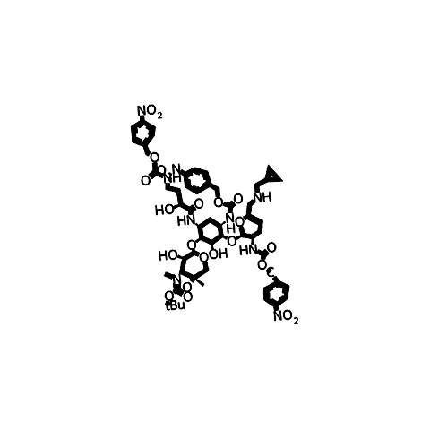 CN(C(=O)OC(C)(C)C)[C@@H]1[C@@H](O)[C@@H](O[C@@H]2[C@@H](O)[C@H](O[C@H]3OC(CNCC4CC4)=CC[C@H]3NC(=O)OCc3ccc([N+](=O)[O-])cc3)[C@@H](NC(=O)OCc3ccc([N+](=O)[O-])cc3)C[C@H]2NC(=O)[C@@H](O)CCNC(=O)OCc2ccc([N+](=O)[O-])cc2)OC[C@]1(C)O